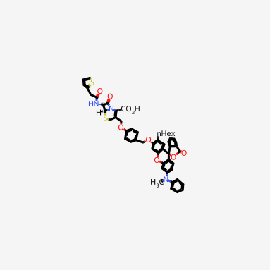 CCCCCCc1cc2c(cc1OCc1ccc(OCC3=C(C(=O)O)N4C(=O)[C@H](NC(=O)Cc5cccs5)[C@@H]4SC3)cc1)Oc1cc(N(C)c3ccccc3)ccc1C21OC(=O)c2ccccc21